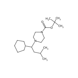 CC(C)CC(C1CCCCC1)N1CCN(C(=O)OC(C)(C)C)CC1